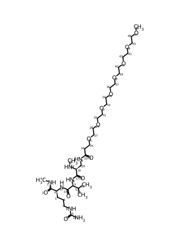 CNC(=O)[C@H](CCCNC(N)=O)NC(=O)[C@@H](NC(=O)[C@H](CNC(=O)CCOCCOCCOCCOCCOCCOCCOCCOC)NC)C(C)C